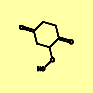 O=C1CCC(=O)C(OO)C1